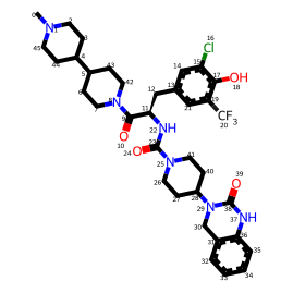 CN1CCC(C2CCN(C(=O)[C@@H](Cc3cc(Cl)c(O)c(C(F)(F)F)c3)NC(=O)N3CCC(N4Cc5ccccc5NC4=O)CC3)CC2)CC1